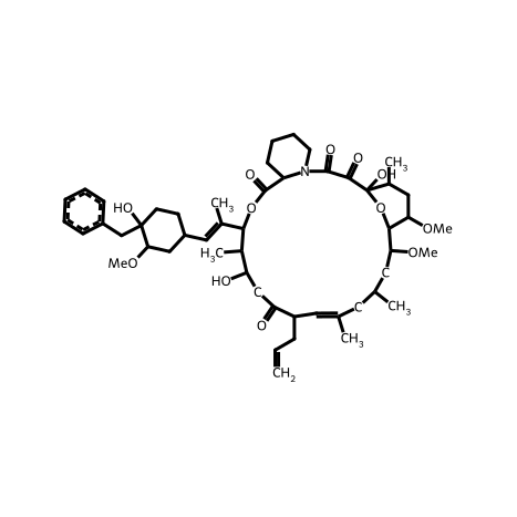 C=CCC1/C=C(\C)CC(C)CC(OC)C2OC(O)(C(=O)C(=O)N3CCCCC3C(=O)OC(C(C)=CC3CCC(O)(Cc4ccccc4)C(OC)C3)C(C)C(O)CC1=O)C(C)CC2OC